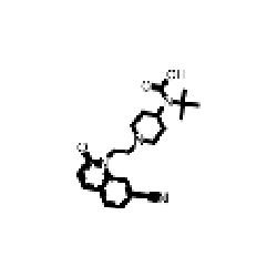 CC(C)(C)N(C(=O)O)C1CCN(CCn2c(=O)ccc3ccc(C#N)cc32)CC1